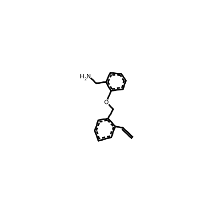 C=Cc1ccccc1COc1ccccc1CN